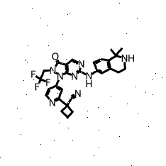 CC1(C)NCCc2cc(Nc3ncc4c(=O)n(CC(F)(F)F)n(-c5ccnc(C6(C#N)CCC6)c5)c4n3)ccc21